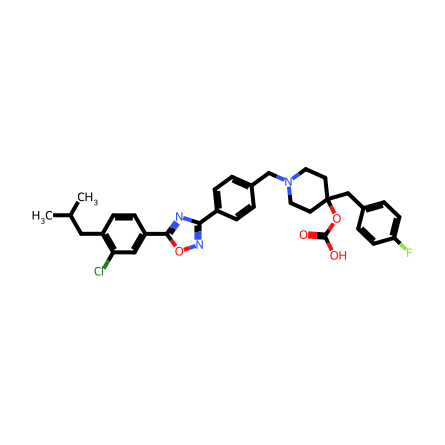 CC(C)Cc1ccc(-c2nc(-c3ccc(CN4CCC(Cc5ccc(F)cc5)(OC(=O)O)CC4)cc3)no2)cc1Cl